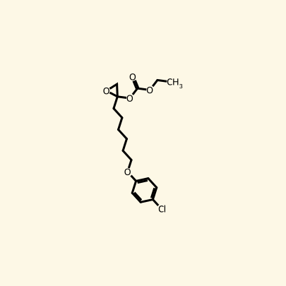 CCOC(=O)OC1(CCCCCCOc2ccc(Cl)cc2)CO1